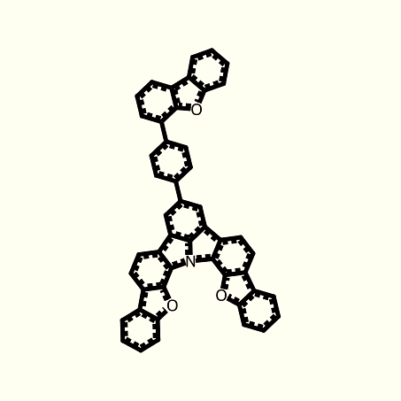 c1ccc2c(c1)oc1c(-c3ccc(-c4cc5c6ccc7c8ccccc8oc7c6n6c5c(c4)c4ccc5c7ccccc7oc5c46)cc3)cccc12